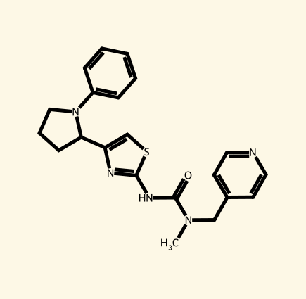 CN(Cc1ccncc1)C(=O)Nc1nc(C2CCCN2c2ccccc2)cs1